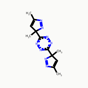 CC1=CC(C)(c2nnc(C3(C)C=C(C)N=N3)nn2)N=N1